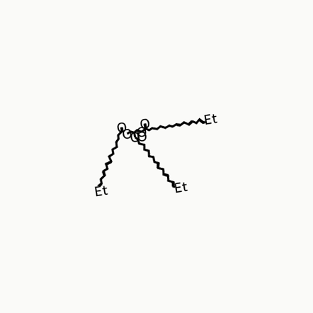 CCC=CCC=CCC=CCCCCCCCC(=O)OCC(COC(=O)CCCCCCCC=CCC=CCC=CCC)OC(=O)CCCCCCCC=CCC=CCC=CCC